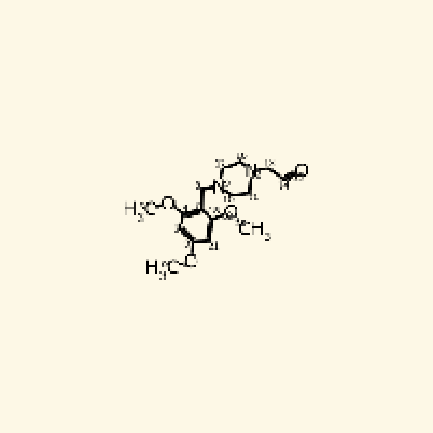 COc1cc(OC)c(CN2CCN(C[C]=O)CC2)c(OC)c1